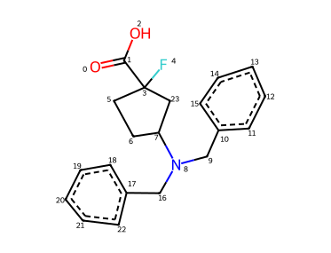 O=C(O)C1(F)CCC(N(Cc2ccccc2)Cc2ccccc2)C1